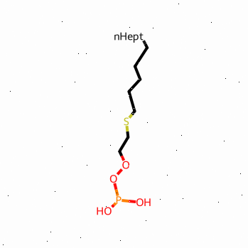 CCCCCCCCCCCCSCCOOP(O)O